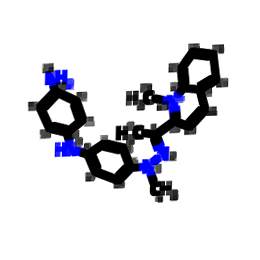 C/C(=N\N(C)c1ccc(Nc2ccc(N)cc2)cc1)c1ccc2ccccc2[n+]1C